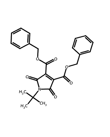 CC(C)(C)N1C(=O)C(C(=O)OCc2ccccc2)=C(C(=O)OCc2ccccc2)C1=O